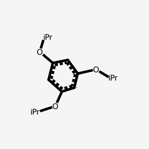 CC(C)Oc1[c]c(OC(C)C)cc(OC(C)C)c1